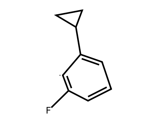 Fc1[c]c(C2CC2)ccc1